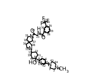 CN1CCN(c2ccc(C3(O)CCC(N4CCC5(CCN(C(=O)CNC(=O)c6cccc(C(F)(F)F)c6)C5)C4)CC3)nc2)CC1